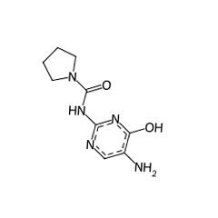 Nc1cnc(NC(=O)N2CCCC2)nc1O